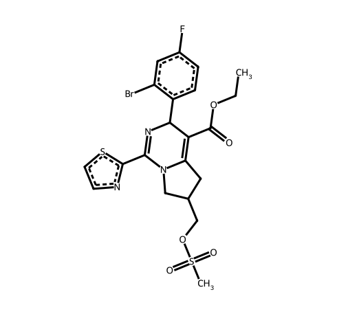 CCOC(=O)C1=C2CC(COS(C)(=O)=O)CN2C(c2nccs2)=NC1c1ccc(F)cc1Br